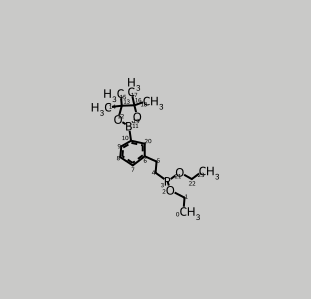 CCOP(CCc1cccc(B2OC(C)(C)C(C)(C)O2)c1)OCC